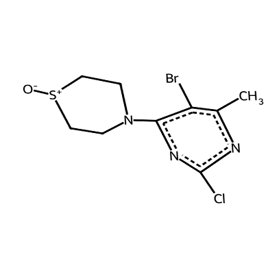 Cc1nc(Cl)nc(N2CC[S+]([O-])CC2)c1Br